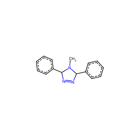 CN1C(c2ccccc2)N=NC1c1ccccc1